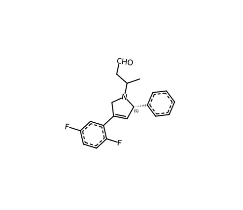 CC(CC=O)N1CC(c2cc(F)ccc2F)=C[C@H]1c1ccccc1